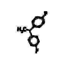 CC(c1ccc(F)cc1)c1ccc(F)cc1